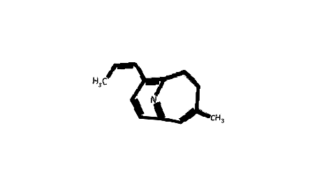 C/C=C\c1ccc2nc1CCC(C)=C2